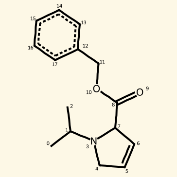 CC(C)N1CC=CC1C(=O)OCc1ccccc1